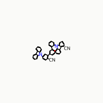 N#Cc1ccc(-n2c3ccccc3c3ccccc32)cc1-c1cccc(-c2ccccc2-n2c3ccccc3c3c(C#N)cccc32)c1